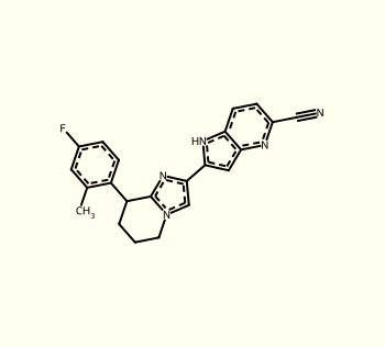 Cc1cc(F)ccc1C1CCCn2cc(-c3cc4nc(C#N)ccc4[nH]3)nc21